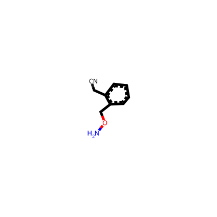 N#CCc1ccccc1CON